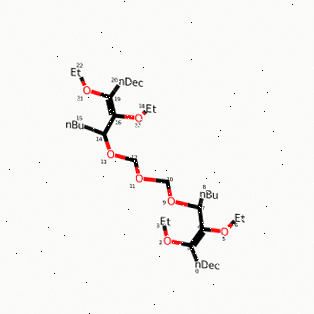 CCCCCCCCCCC(OCC)=C(OCC)C(CCCC)OCOCOC(CCCC)C(OCC)=C(CCCCCCCCCC)OCC